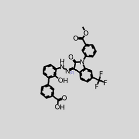 COC(=O)c1cccc(N2C(=O)/C(=N\Nc3cccc(-c4cccc(C(=O)O)c4)c3O)c3ccc(C(F)(F)F)cc32)c1